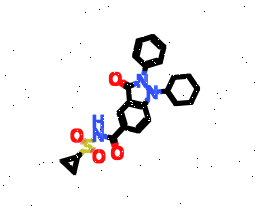 O=C(NS(=O)(=O)C1CC1)c1ccc2c(c1)c(=O)n(-c1ccccc1)n2C1CCCCC1